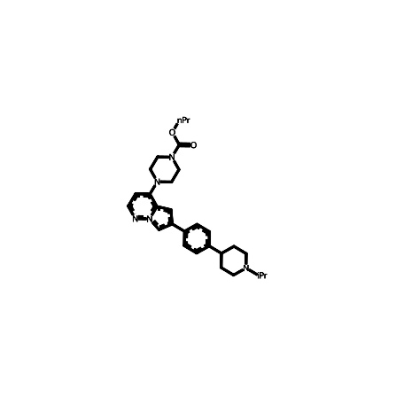 CCCOC(=O)N1CCN(c2ccnn3cc(-c4ccc(C5CCN(C(C)C)CC5)cc4)cc23)CC1